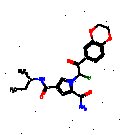 C[C@H](CC(F)(F)F)NC(=O)c1cc(C(N)=O)n(C(F)C(=O)c2ccc3c(c2)OCCO3)c1